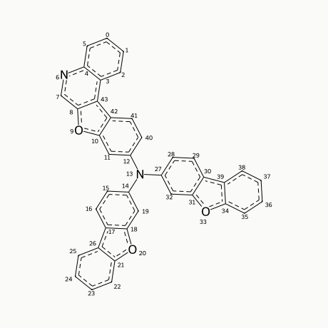 c1ccc2c(c1)ncc1oc3cc(N(c4ccc5c(c4)oc4ccccc45)c4ccc5c(c4)oc4ccccc45)ccc3c12